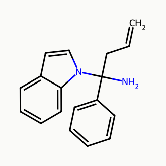 C=CCC(N)(c1ccccc1)n1ccc2ccccc21